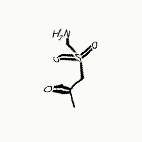 CC(=O)CS(N)(=O)=O